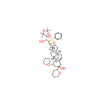 C[C@H](C(C(O)[C@H]1OC(C)(C)OC1(C)C)S(=O)(=O)c1ccccc1)[C@H]1CC[C@H]2[C@@H]3CC=C4C[C@@](O)(C5CCCCO5)C[C@H](C5CCCCO5)[C@]4(C)[C@H]3CC[C@]12C